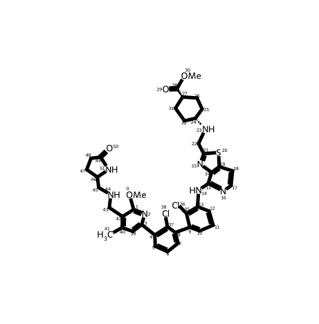 COc1nc(-c2cccc(-c3cccc(Nc4nccc5sc(CN[C@H]6CC[C@H](C(=O)OC)CC6)nc45)c3Cl)c2Cl)cc(C)c1CNCC1CCC(=O)N1